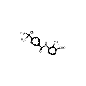 Cc1c(C=O)cccc1NC(=O)c1ccc(C(C)(C)C#N)cc1